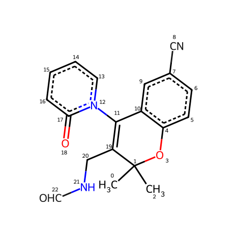 CC1(C)Oc2ccc(C#N)cc2C(n2ccccc2=O)=C1CNC=O